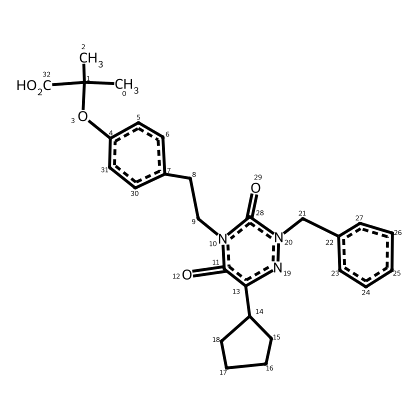 CC(C)(Oc1ccc(CCn2c(=O)c(C3CCCC3)nn(Cc3ccccc3)c2=O)cc1)C(=O)O